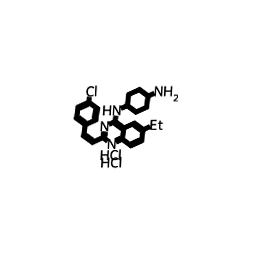 CCc1ccc2nc(/C=C\c3ccc(Cl)cc3)nc(NC3CCC(N)CC3)c2c1.Cl.Cl